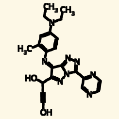 CCN(CC)c1ccc(/N=C2/C(C(O)C#CO)=Nn3c2nnc3-c2cnccn2)c(C)c1